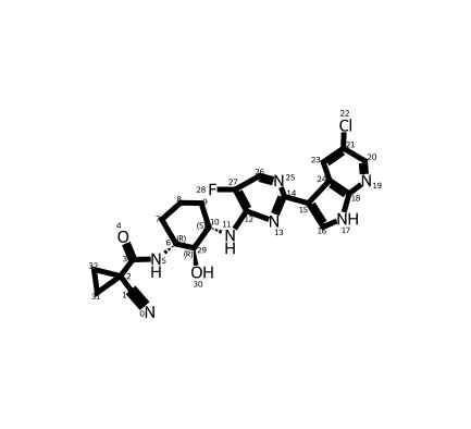 N#CC1(C(=O)N[C@@H]2CCC[C@H](Nc3nc(-c4c[nH]c5ncc(Cl)cc45)ncc3F)[C@H]2O)CC1